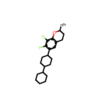 CCCC1CCc2cc(C3CCC(C4CCCCC4)CC3)c(F)c(F)c2O1